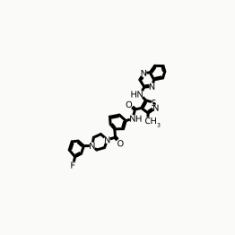 Cc1nsc(Nc2cnc3ccccc3n2)c1C(=O)Nc1cccc(C(=O)N2CCN(c3cccc(F)c3)CC2)c1